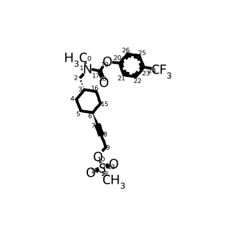 CN(C[C@H]1CC[C@H](C#CCOS(C)(=O)=O)CC1)C(=O)Oc1ccc(C(F)(F)F)cc1